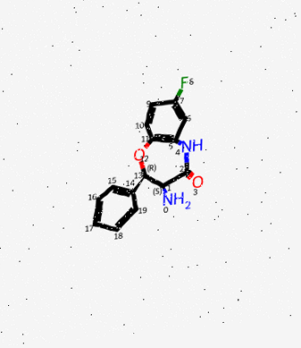 N[C@@H]1C(=O)Nc2cc(F)ccc2O[C@@H]1c1ccccc1